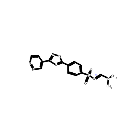 CN(C)/C=N/S(=O)(=O)c1ccc(-c2nc(-c3ccnnc3)no2)cc1